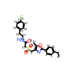 CCc1ccc(-c2nc(CS(=O)(=O)CC(=O)NCCc3ccc(F)cc3)c(C)o2)cc1